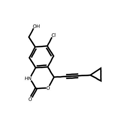 O=C1Nc2cc(CO)c(Cl)cc2C(C#CC2CC2)O1